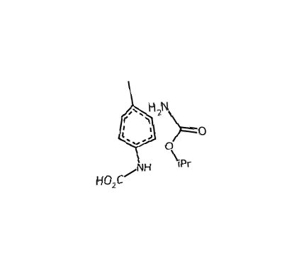 CC(C)OC(N)=O.Cc1ccc(NC(=O)O)cc1